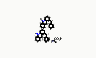 C/C(=C/C(=O)O)C(=O)O.CN(C)c1cccc(Cc2ccccc2)c1Cc1ccccc1.CN(C)c1cccc(Cc2ccccc2)c1Cc1ccccc1